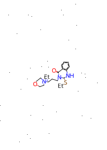 CCSC1Nc2ccccc2C(=O)N1CCC[N+]1(CC)CCOCC1